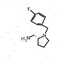 NC[C@H]1CCCN1Cc1ccc(F)cc1